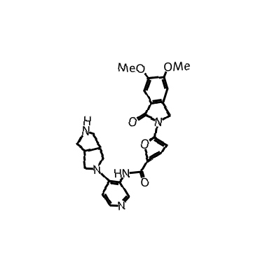 COc1cc2c(cc1OC)C(=O)N(c1ccc(C(=O)Nc3cnccc3N3CC4CNCC4C3)o1)C2